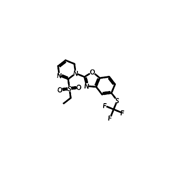 CCS(=O)(=O)C1=NC=CCN1c1nc2cc(SC(F)(F)F)ccc2o1